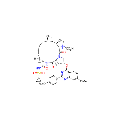 COc1ccc(-c2nc(O[C@@H]3C[C@H]4C(=O)N[C@]5(C(=O)NS(=O)(=O)C6CC6)C[C@H]5C=CCC[C@@H](C)C[C@@H](C)[C@H](NC(=O)O)C(=O)N4C3)c3ccc(OC)cc3n2)cc1